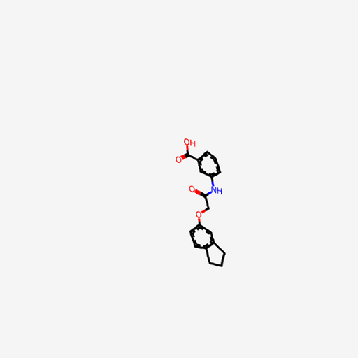 O=C(COc1ccc2c(c1)CCC2)Nc1cccc(C(=O)O)c1